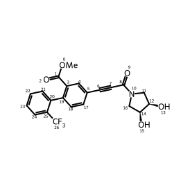 COC(=O)c1cc(C#CC(=O)N2C[C@@H](O)[C@@H](O)C2)ccc1-c1ccccc1C(F)(F)F